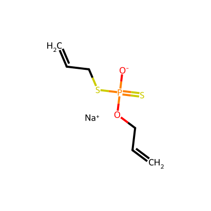 C=CCOP([O-])(=S)SCC=C.[Na+]